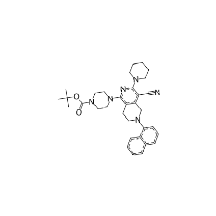 CC(C)(C)OC(=O)N1CCN(c2nc(N3CCCCC3)c(C#N)c3c2CCN(c2cccc4ccccc24)C3)CC1